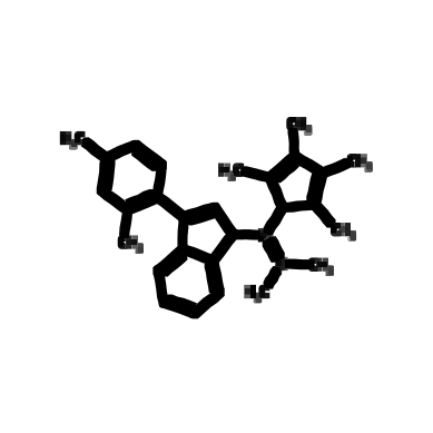 CC1=C(C)[CH]([Zr]([CH]2C=C(c3ccc(C)cc3C)c3ccccc32)=[Si](C)C)C(C)=C1C